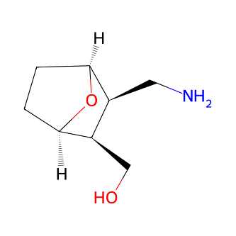 NC[C@H]1[C@@H](CO)[C@H]2CC[C@@H]1O2